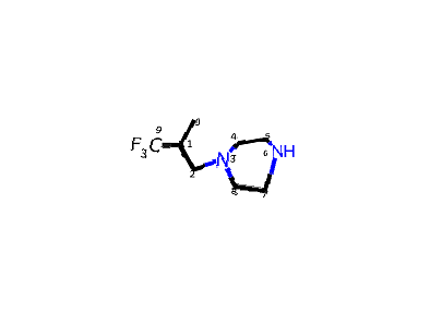 CC(CN1CCNCC1)C(F)(F)F